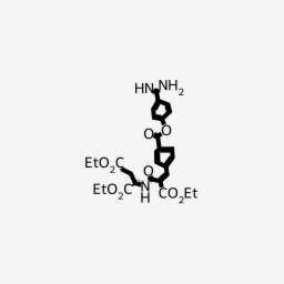 CCOC(=O)CC[C@H](NC(=O)C(=Cc1ccc(C(=O)Oc2ccc(C(=N)N)cc2)cc1)C(=O)OCC)C(=O)OCC